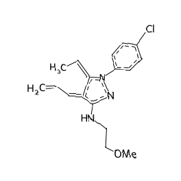 C=C/C=c1/c(NCCOC)nn(-c2ccc(Cl)cc2)/c1=C/C